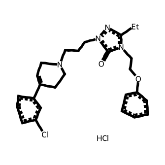 CCc1nn(CCCN2CC=C(c3cccc(Cl)c3)CC2)c(=O)n1CCOc1ccccc1.Cl